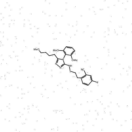 COCCCCc1nnc(NSCCc2ccc(F)cc2C#N)n1-c1c(OC)cccc1OC